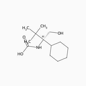 CC(C)(C)[C@](CO)(NC(=O)O)C1CCCCC1